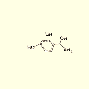 BC(O)c1ccc(O)cc1.[LiH]